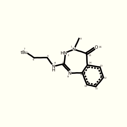 CN1NC(NCCC(C)(C)C)=Nc2ccccc2C1=O